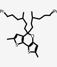 Cc1cc2c(s1)-c1sc(C)cc1C(CCC(C)CCCC(C)C)(CCC(C)CCCC(C)C)O2